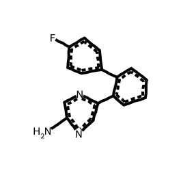 Nc1cnc(-c2ccccc2-c2ccc(F)cc2)cn1